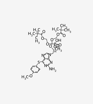 COc1ccc(Sc2nc(N)nc3c2ncn3C[C@@H](C)OC(OCOC(=O)C(C)(C)C)(OCOC(=O)C(C)(C)C)P(=O)(O)O)cc1